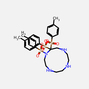 Cc1ccc(S(=O)(=O)N2CCNCCNCCNCC2(S(=O)(=O)c2ccc(C)cc2)S(=O)(=O)c2ccc(C)cc2)cc1